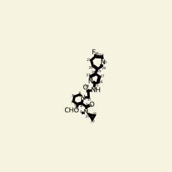 CN(C(=O)C1=C(C=O)CCCN1CC(=O)Nc1ccc(C2=CCC(F)=CN=C2)cn1)C1CC1